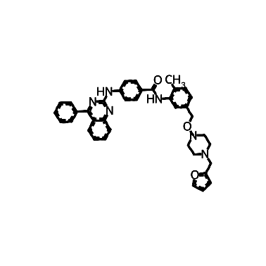 Cc1ccc(CON2CCN(Cc3ccco3)CC2)cc1NC(=O)c1ccc(Nc2nc(-c3ccccc3)c3ccccc3n2)cc1